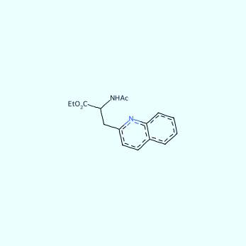 CCOC(=O)C(Cc1ccc2ccccc2n1)NC(C)=O